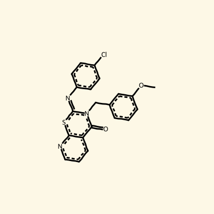 COc1cccc(Cn2c(=Nc3ccc(Cl)cc3)sc3ncccc3c2=O)c1